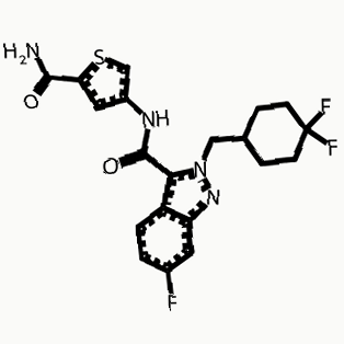 NC(=O)c1cc(NC(=O)c2c3ccc(F)cc3nn2CC2CCC(F)(F)CC2)cs1